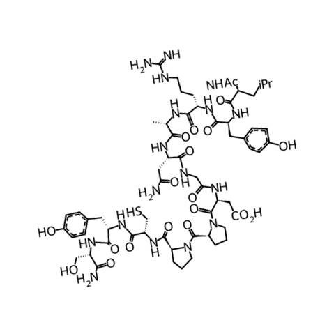 CC(=O)N[C@@H](CC(C)C)C(=O)N[C@@H](Cc1ccc(O)cc1)C(=O)N[C@@H](CCCNC(=N)N)C(=O)N[C@@H](C)C(=O)N[C@@H](CC(N)=O)C(=O)NCC(=O)N[C@@H](CC(=O)O)C(=O)N1CCC[C@H]1C(=O)N1CCC[C@H]1C(=O)N[C@@H](CS)C(=O)N[C@@H](Cc1ccc(O)cc1)C(=O)N[C@@H](CO)C(N)=O